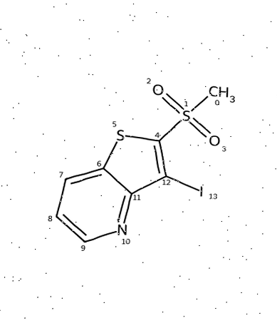 CS(=O)(=O)c1sc2cccnc2c1I